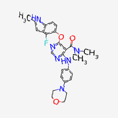 Cc1cc2c(F)c(Oc3ncnc(Nc4ccc(N5CCOCC5)cc4)c3C(=O)N(C)C)ccc2[nH]1